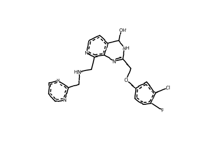 OC1NC(COc2ccc(F)c(Cl)c2)=Nc2c1ccnc2CNCc1ncccn1